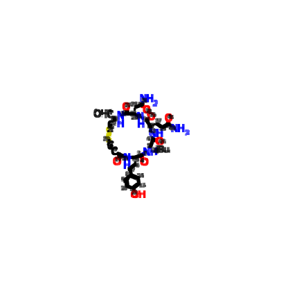 CC[C@H](C)C1NC(=O)[C@H](CCc2ccc(O)cc2)NC(=O)CCSSC[C@@H](C=O)NC(=O)[C@H](CC(N)=O)NC(=O)[C@H](CCC(N)=O)NC1=O